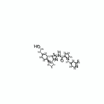 O=C(Nc1nc([C@H]2CCCN2c2ccc(CCO)cc2)cs1)c1cccn1Cc1ccnc(F)c1